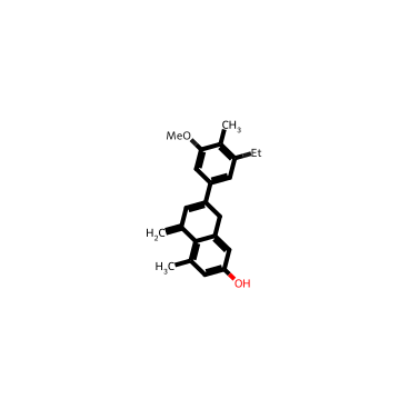 C=C1C=C(c2cc(CC)c(C)c(OC)c2)Cc2cc(O)cc(C)c21